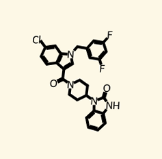 O=C(c1cn(Cc2cc(F)cc(F)c2)c2cc(Cl)ccc12)N1CCC(n2c(=O)[nH]c3ccccc32)CC1